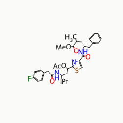 COC(=O)[C@@H](C)C[C@H](Cc1ccccc1)NC(=O)c1csc(C(CC(NC(=O)Cc2ccc(F)cc2)C(C)C)OC(C)=O)n1